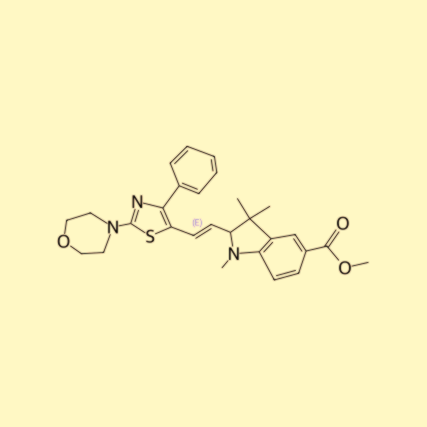 COC(=O)c1ccc2c(c1)C(C)(C)C(/C=C/c1sc(N3CCOCC3)nc1-c1ccccc1)N2C